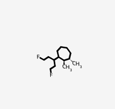 C[C@H]1CCCCC(C(CCF)CCF)[C@@H]1C